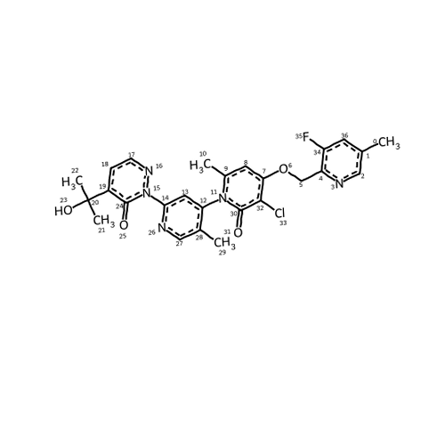 Cc1cnc(COc2cc(C)n(-c3cc(-n4nccc(C(C)(C)O)c4=O)ncc3C)c(=O)c2Cl)c(F)c1